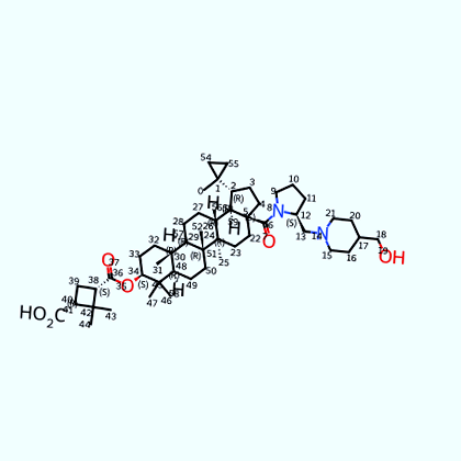 CC1([C@@H]2CC[C@]3(C(=O)N4CCC[C@H]4CN4CCC(CO)CC4)CC[C@]4(C)[C@H](CC[C@@H]5[C@@]6(C)CC[C@H](OC(=O)[C@H]7C[C@@H](C(=O)O)C7(C)C)C(C)(C)[C@@H]6CC[C@]54C)[C@@H]23)CC1